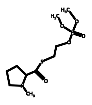 COP(=O)(OC)OCCSC(=O)C1CCCN1C